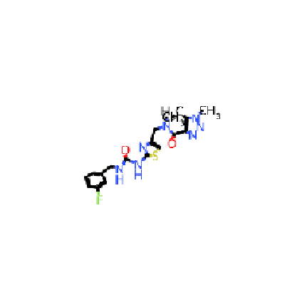 Cc1c(C(=O)N(C)Cc2csc(NC(=O)NCc3cccc(F)c3)n2)nnn1C